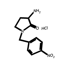 Cl.NC1CCN(Cc2ccc([N+](=O)[O-])cc2)C1=O